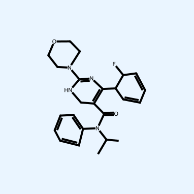 CC(C)N(C(=O)C1=C(C2C=CC=CC2F)N=C(N2CCOCC2)NC1)c1ccccc1